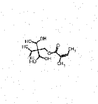 CC=C(C)C(=O)OCC(C(O)O)(C(O)O)C(O)O